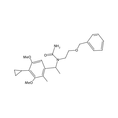 COc1cc(C(C)N(CCOCc2ccccc2)C(N)=O)c(C)c(OC)c1C1CC1